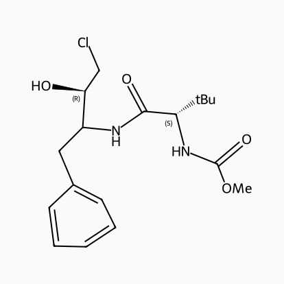 COC(=O)N[C@H](C(=O)NC(Cc1ccccc1)[C@@H](O)CCl)C(C)(C)C